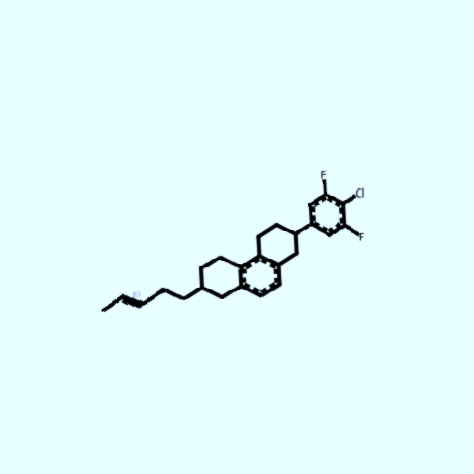 C/C=C/CCC1CCc2c(ccc3c2CCC(c2cc(F)c(Cl)c(F)c2)C3)C1